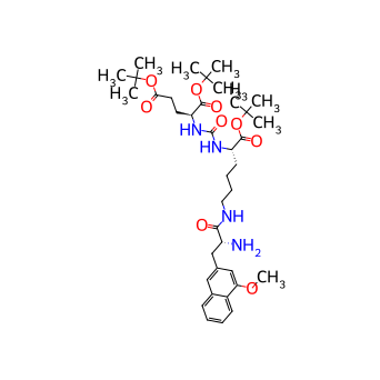 COc1cc(C[C@@H](N)C(=O)NCCCC[C@H](NC(=O)N[C@@H](CCC(=O)OC(C)(C)C)C(=O)OC(C)(C)C)C(=O)OC(C)(C)C)cc2ccccc12